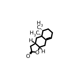 C[C@@H]1CCC=C2C[C@@H]3OC(=O)C[C@@H]3C[C@]21C